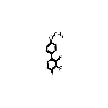 COc1ccc(-c2ccc(I)c(F)c2F)cc1